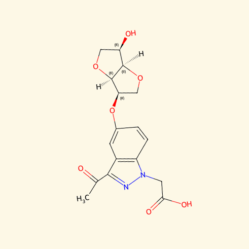 CC(=O)c1nn(CC(=O)O)c2ccc(O[C@@H]3CO[C@H]4[C@@H]3OC[C@H]4O)cc12